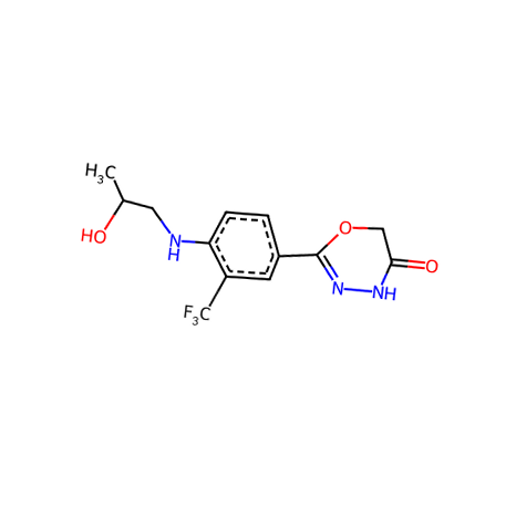 CC(O)CNc1ccc(C2=NNC(=O)CO2)cc1C(F)(F)F